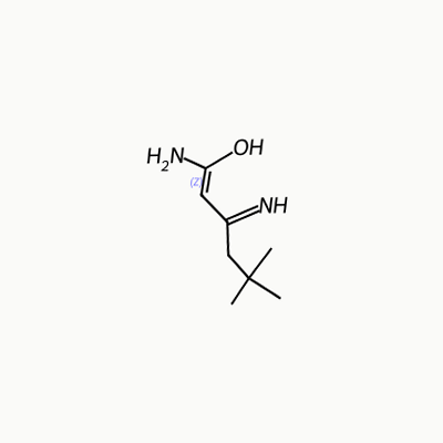 CC(C)(C)CC(=N)/C=C(/N)O